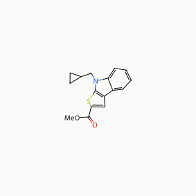 COC(=O)c1cc2c3ccccc3n(CC3CC3)c2s1